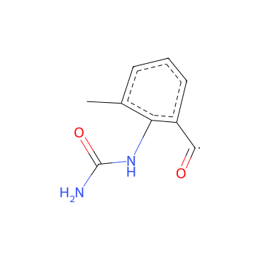 Cc1cccc([C]=O)c1NC(N)=O